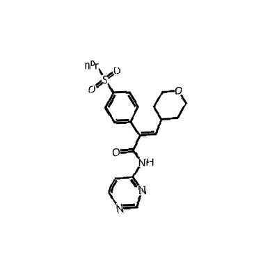 CCCS(=O)(=O)c1ccc(/C(=C\C2CCOCC2)C(=O)Nc2ccncn2)cc1